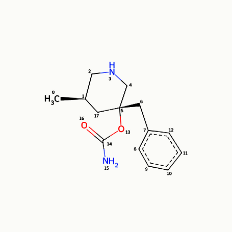 C[C@H]1CNC[C@](Cc2ccccc2)(OC(N)=O)C1